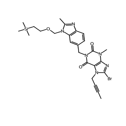 CC#CCn1c(Br)nc2c1c(=O)n(Cc1ccc3nc(C)n(COCC[Si](C)(C)C)c3c1)c(=O)n2C